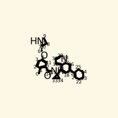 Cc1ccc(OC[C@@H]2CCN2)cc1C(=O)NC1(c2cc(C3=CCCCC3)cc3ncccc23)CC1